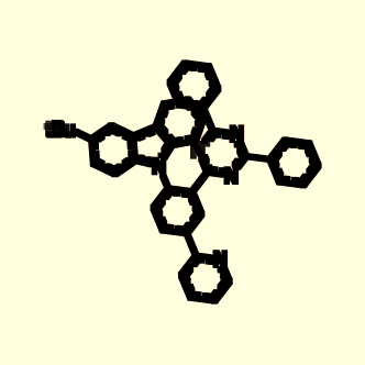 CC(C)(C)c1ccc2c(c1)c1ccccc1n2-c1ccc(-c2ccccn2)cc1-c1nc(-c2ccccc2)nc(-c2ccccc2)n1